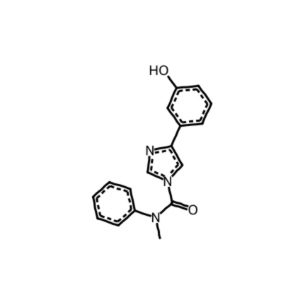 CN(C(=O)n1cnc(-c2cccc(O)c2)c1)c1ccccc1